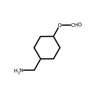 NCC1CCC(OC=O)CC1